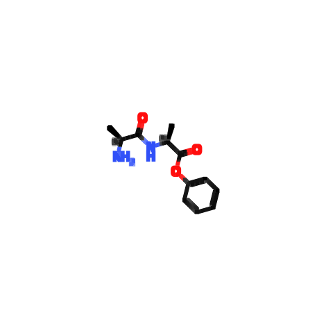 C[C@H](N)C(=O)N[C@@H](C)C(=O)Oc1ccccc1